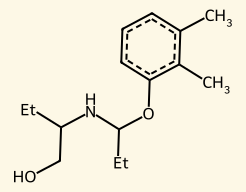 CCC(CO)NC(CC)Oc1cccc(C)c1C